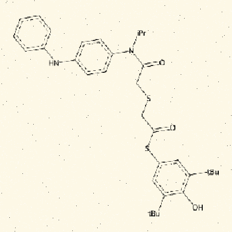 CC(C)N(C(=O)CSCC(=O)Sc1cc(C(C)(C)C)c(O)c(C(C)(C)C)c1)c1ccc(Nc2ccccc2)cc1